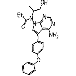 CCC(=O)N(C(C)CO)n1cc(-c2ccc(Oc3ccccc3)cc2)c2c(N)ncnc21